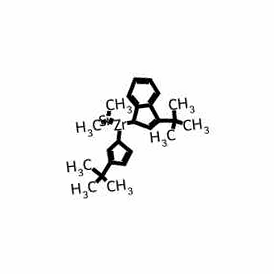 C[Si](C)=[Zr]([CH]1C=CC(C(C)(C)C)=C1)[CH]1C=C(C(C)(C)C)c2ccccc21